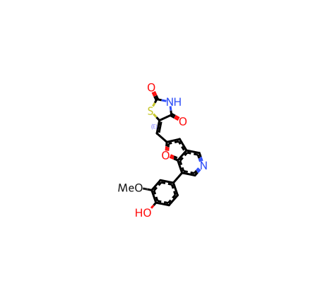 COc1cc(-c2cncc3cc(/C=C4/SC(=O)NC4=O)oc23)ccc1O